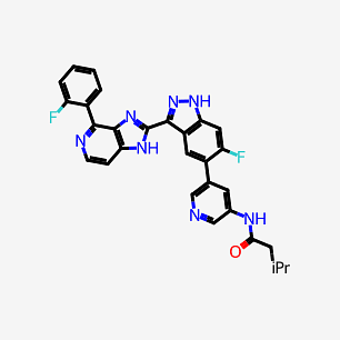 CC(C)CC(=O)Nc1cncc(-c2cc3c(-c4nc5c(-c6ccccc6F)nccc5[nH]4)n[nH]c3cc2F)c1